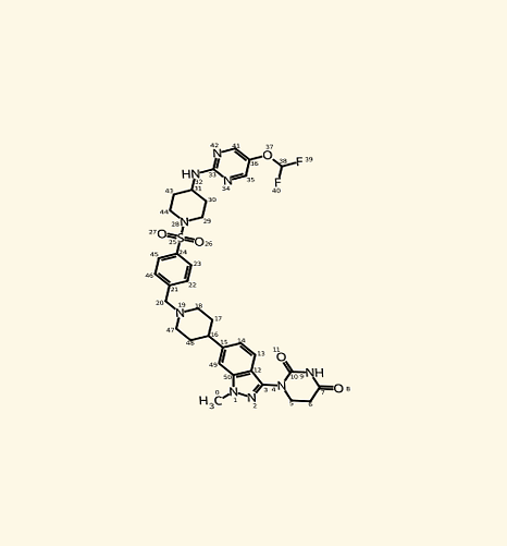 Cn1nc(N2CCC(=O)NC2=O)c2ccc(C3CCN(Cc4ccc(S(=O)(=O)N5CCC(Nc6ncc(OC(F)F)cn6)CC5)cc4)CC3)cc21